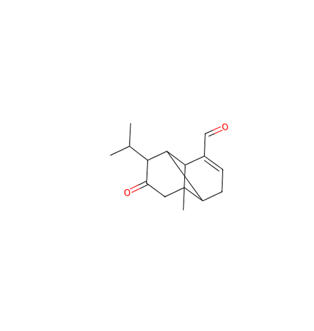 CC(C)C1C(=O)CC2(C)C3CC=C(C=O)C2C13